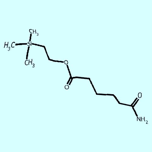 C[Si](C)(C)CCOC(=O)CCCCC(N)=O